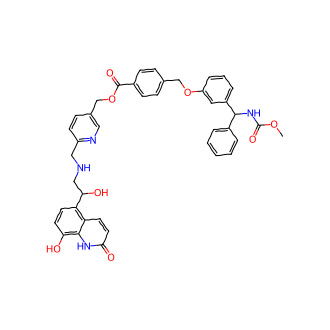 COC(=O)NC(c1ccccc1)c1cccc(OCc2ccc(C(=O)OCc3ccc(CNCC(O)c4ccc(O)c5[nH]c(=O)ccc45)nc3)cc2)c1